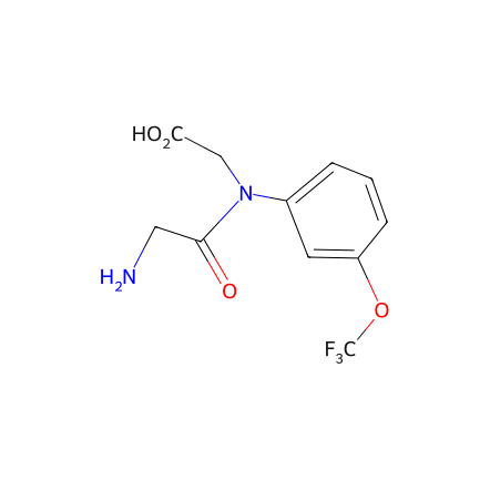 NCC(=O)N(CC(=O)O)c1cccc(OC(F)(F)F)c1